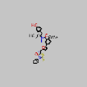 COc1ccc(-c2ccc(/C=C3\SC(=S)N(C4CC5CCC4C5)C3=O)o2)cc1C(=O)N[C@@H](Cc1ccc(O)cc1)C(=O)O